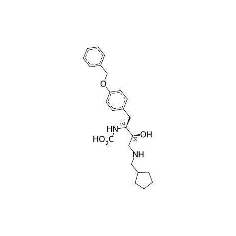 O=C(O)N[C@@H](Cc1ccc(OCc2ccccc2)cc1)[C@@H](O)CNCC1CCCC1